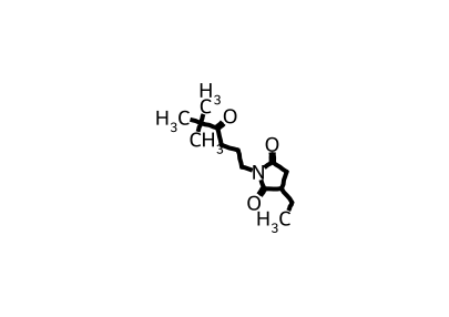 CCC1CC(=O)N(CCCC(=O)C(C)(C)C)C1=O